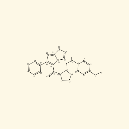 CCc1cnc(NC[C@@H]2CCCN2C(=O)c2c(-c3ccccc3)nc3sccn23)nc1